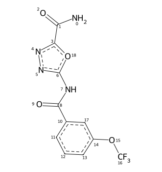 NC(=O)c1nnc(NC(=O)c2cccc(OC(F)(F)F)c2)o1